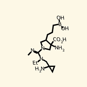 CCN(CC1(N)CC1)/C(=N\C)N1CC(CCCB(O)O)C(N)(C(=O)O)C1